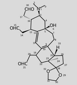 CN(C)[C@H]1C[C@]2(O)CCC3=C(C=C2[C@@H](CC=O)[C@@H]1CC=O)C(CC=O)C[C@@]1(C)[C@H]3CCC12OCCO2